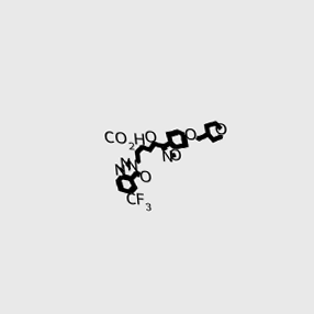 O=C(CC(CCn1nnc2ccc(C(F)(F)F)cc2c1=O)C(=O)O)c1noc2cc(OCC3CCOCC3)ccc12